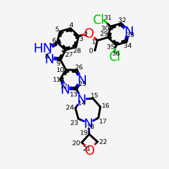 CC(Oc1ccc2[nH]nc(-c3cnc(N4CCCN(C5COC5)CC4)nc3)c2c1)c1c(Cl)cncc1Cl